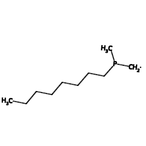 [CH2]P(C)CCCCCCCC